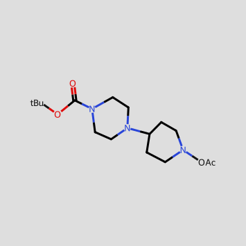 CC(=O)ON1CCC(N2CCN(C(=O)OC(C)(C)C)CC2)CC1